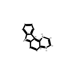 c1ccc2c(c1)nc1ccc3nccsc3c12